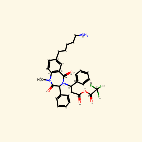 CN1C(=O)C(c2ccccc2)N(C(CC(=O)OC(=O)C(F)(F)F)c2ccccc2)C(=O)c2cc(CCCCCN)ccc21